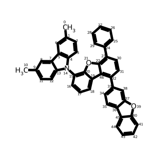 Cc1ccc2c(c1)c1cc(C)ccc1n2-c1cccc2c1oc1c(-c3ccccc3)ccc(-c3ccc4c(c3)oc3ccccc34)c12